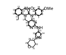 COc1ccc(N2C(=O)N(c3c(C)cccc3C)Cc3cnc(Nc4cnn(C5CCOCC5)c4)nc32)c(OC)c1